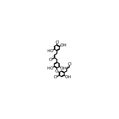 Oc1cc(C/C=C(/Cl)Cc2cc(O)c(Oc3cc(C/C=C/Cl)c(O)cc3Cl)c(O)c2)c(O)cc1Cl